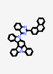 c1ccc2c(c1)ccc1ccc(-c3nc(-n4c5ccccc5c5c6c7ccccc7n7c8ccccc8c(cc54)c67)c4ccccc4n3)cc12